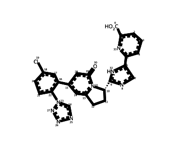 O=C(O)c1cccc(-c2cnc([C@@H]3CCc4cc(-c5cc(Cl)ccc5-n5cnnn5)cc(=O)n43)[nH]2)n1